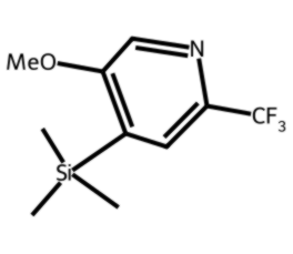 COc1cnc(C(F)(F)F)cc1[Si](C)(C)C